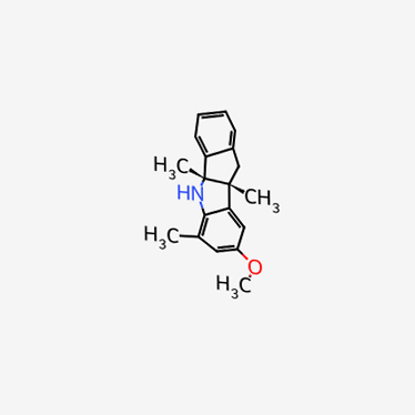 COc1cc(C)c2c(c1)[C@@]1(C)Cc3ccccc3[C@@]1(C)N2